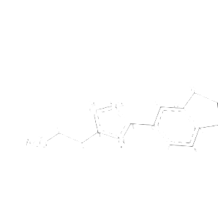 CC(=O)OCCc1nc(-c2ccc3c(c2)CCC3)no1